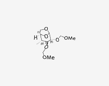 COCO[C@H]1[C@H](C)[C@H]2COC(O2)[C@@H]1OCOC